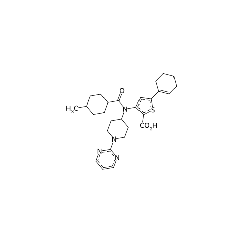 CC1CCC(C(=O)N(c2cc(C3=CCCCC3)sc2C(=O)O)C2CCN(c3ncccn3)CC2)CC1